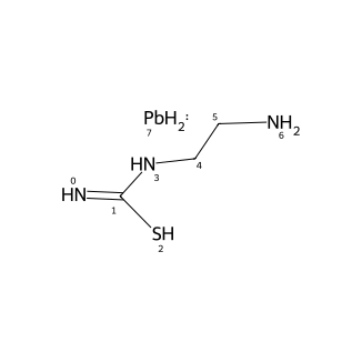 N=C(S)NCCN.[PbH2]